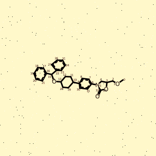 COCC1CN(c2ccc(C3CCC(OC(c4ccccc4)c4ccccc4)CC3)cc2)C(=O)O1